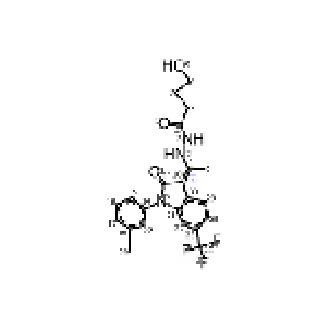 C/C(NNC(=O)CCCO)=C1/C(=O)N(c2cccc(C)c2)c2cc(C(F)(F)F)ccc21